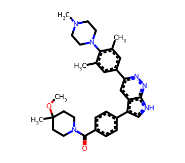 COC1(C)CCN(C(=O)c2ccc(-c3c[nH]c4nnc(-c5cc(C)c(N6CCN(C)CC6)c(C)c5)cc34)cc2)CC1